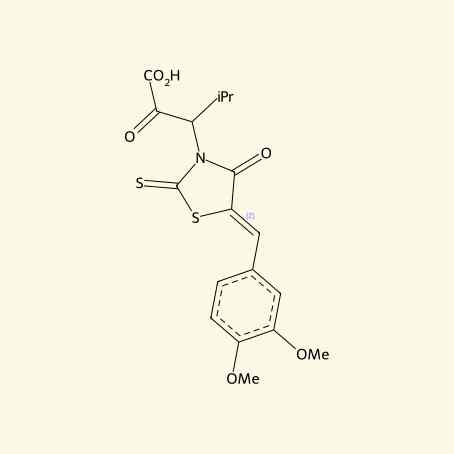 COc1ccc(/C=C2\SC(=S)N(C(C(=O)C(=O)O)C(C)C)C2=O)cc1OC